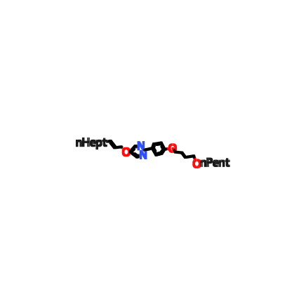 CCCCCCCC=CCOc1cnc(-c2ccc(OCCCCOCCCCC)cc2)nc1